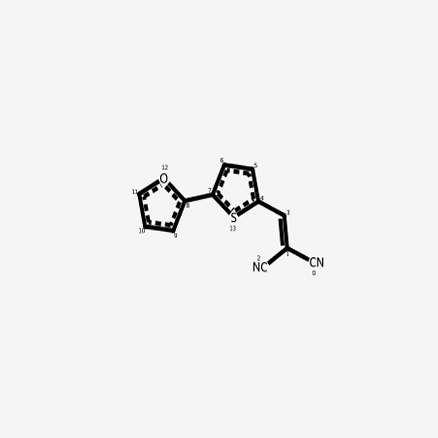 N#CC(C#N)=Cc1ccc(-c2ccco2)s1